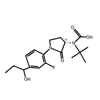 CCC(O)c1ccc(N2CC[C@H](N(C(=O)O)C(C)(C)C)C2=O)c(F)c1